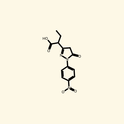 CCC(C(=O)O)C1=NN(c2ccc([N+](=O)[O-])cc2)C(=O)C1